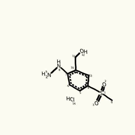 CS(=O)(=O)c1ccc(NN)c(CO)c1.Cl